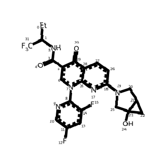 CCC(NC(=O)c1cn(-c2ncc(F)cc2F)c2nc(N3CC4CC4(O)C3)ccc2c1=O)C(F)(F)F